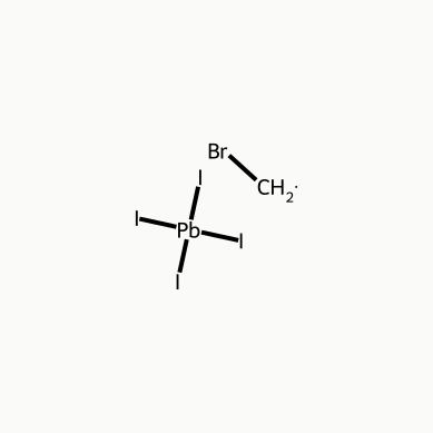 [CH2]Br.[I][Pb]([I])([I])[I]